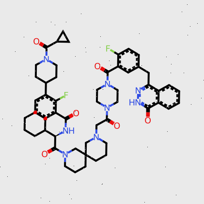 O=C(N[C@@H](C(=O)N1CCCC2(CCCN(CC(=O)N3CCN(C(=O)c4cc(Cc5n[nH]c(=O)c6ccccc56)ccc4F)CC3)C2)C1)C1CCCCC1)c1cccc(C2CCN(C(=O)C3CC3)CC2)c1F